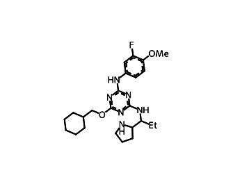 CCC(Nc1nc(Nc2ccc(OC)c(F)c2)nc(OCC2CCCCC2)n1)C1CCCN1